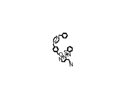 N#CCC1=CC=NC(OCc2ccc(CN3CCN(Cc4ccccc4)CC3)cc2)N1c1nc2ccccc2s1